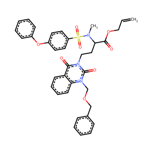 C=CCOC(=O)C(CCn1c(=O)c2ccccc2n(COCc2ccccc2)c1=O)N(C)S(=O)(=O)c1ccc(Oc2ccccc2)cc1